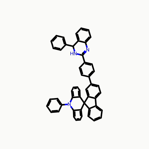 c1ccc(C2NC(c3ccc(-c4ccc5c(c4)C4(c6ccccc6-5)c5ccccc5N(c5ccccc5)c5ccccc54)cc3)=Nc3ccccc32)cc1